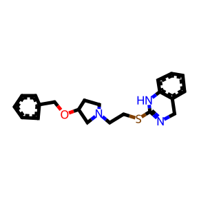 c1ccc(COC2CCN(CCSC3=NCc4ccccc4N3)C2)cc1